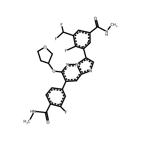 CNC(=O)c1cc(-c2cnc3cc(-c4ccc(C(=O)NC)c(F)c4)c(OC4CCOC4)nn23)c(F)c(C(F)F)c1